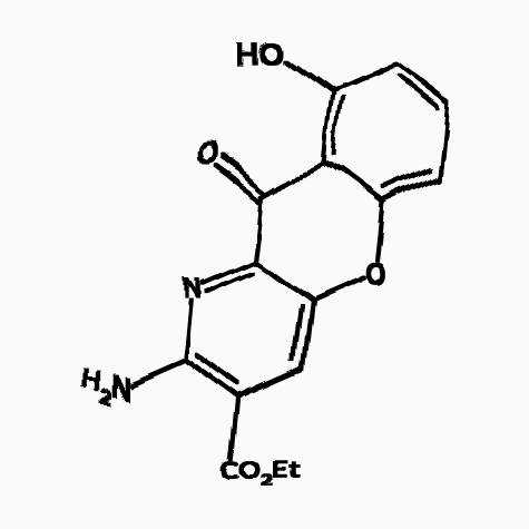 CCOC(=O)c1cc2oc3cccc(O)c3c(=O)c2nc1N